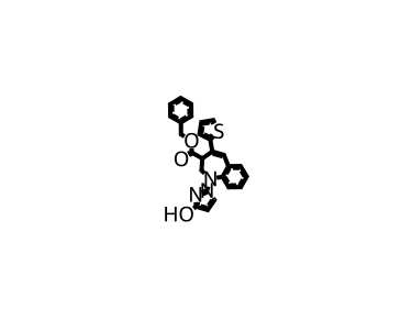 O=C(OCc1ccccc1)C1CN(n2ccc(O)n2)c2ccccc2C=C1c1cccs1